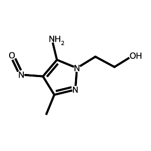 Cc1nn(CCO)c(N)c1N=O